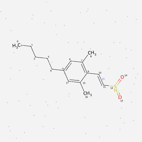 CCCCCc1cc(C)c(/C=C/[SH](=O)=O)c(C)c1